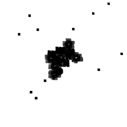 N#Cc1cc(-c2nc(-c3ccccc3)nc(-c3ccccc3)c2C#N)cc(C#N)c1-n1c2ccccc2c2cc3c(cc21)oc1ccccc13